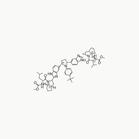 COC(=O)NC(CC(C)C)C(=O)N1C(c2nc3cc([C@H]4CCC(c5ccc6[nH]c([C@@H]7CC8CCC[C@@H]8N7C(=O)[C@@H](NC(=O)OC)C(C)C)nc6c5)N4c4ccc(C(C)(C)C)cc4)ccc3[nH]2)C[C@@H]2CCC[C@@H]21